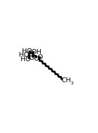 CCCCCCCCCCCCCCCCC(=O)OCC1OC(O)C(O)C(O)C1O